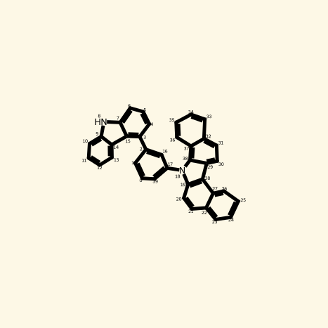 c1cc(-c2cccc3[nH]c4ccccc4c23)cc(-n2c3ccc4ccccc4c3c3ccc4ccccc4c32)c1